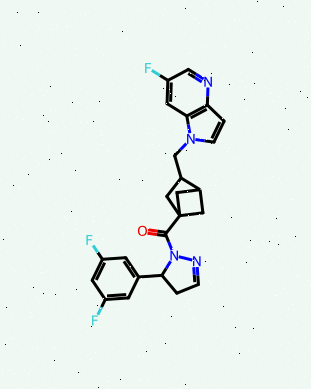 O=C(N1N=CCC1c1cc(F)cc(F)c1)C12CC(Cn3ccc4ncc(F)cc43)C(C1)C2